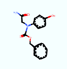 NC(=O)CN(C(=O)OCc1ccccc1)c1ccc(O)cc1